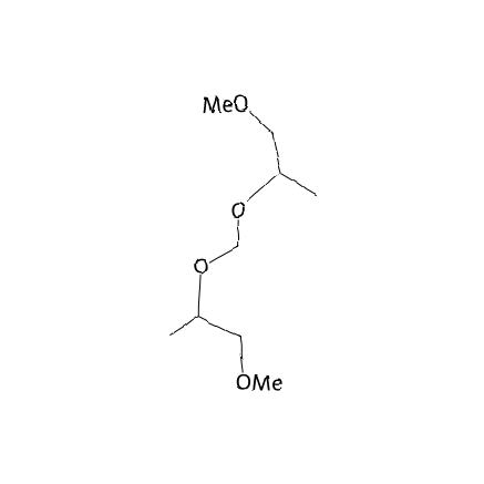 COCC(C)OCOC(C)COC